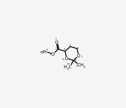 CCCOC(=O)C1CCOC(C)(C)O1